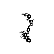 Nc1c(S(=O)(=O)O)cc(Nc2ccc(CNc3nc(Cl)nc(Nc4cccc(S(=O)(=O)O)c4)n3)cc2)c2c1C(=O)c1ccccc1C2=O